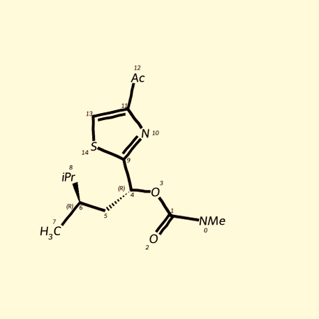 CNC(=O)O[C@H](C[C@@H](C)C(C)C)c1nc(C(C)=O)cs1